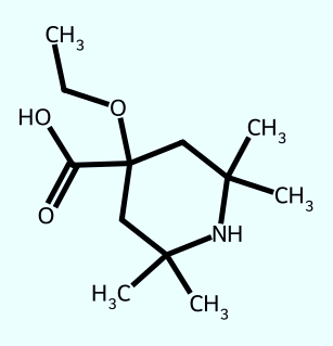 CCOC1(C(=O)O)CC(C)(C)NC(C)(C)C1